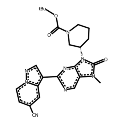 Cn1c(=O)n([C@H]2CCCN(C(=O)OC(C)(C)C)C2)c2nc(-c3cnn4ccc(C#N)cc34)ncc21